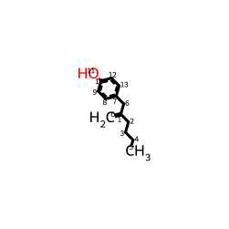 C=C(CCCC)Cc1ccc(O)cc1